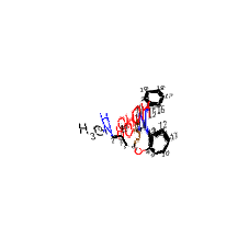 CNC[C@H](O)C[C@H]1Oc2ccccc2N(c2ccccc2)S1(O)O